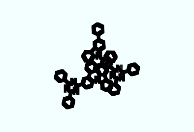 c1ccc(-c2ccc3c(c2)c2ccccc2n3-c2ccc(-c3nc(-c4ccccc4)nc(-c4ccccc4)n3)cc2-c2cccc(-c3cc(-c4nc(-c5ccccc5)nc(-c5ccccc5)n4)ccc3-n3c4ccccc4c4cc(-c5ccccc5)ccc43)c2)cc1